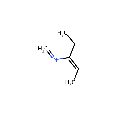 C=N/C(=C\C)CC